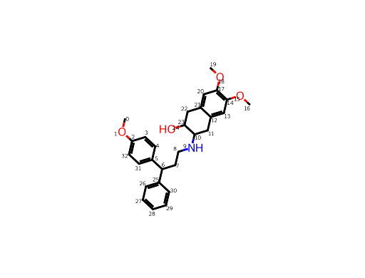 COc1ccc(C(CCNC2Cc3cc(OC)c(OC)cc3CC2O)c2ccccc2)cc1